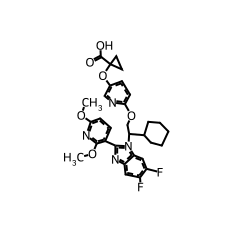 COc1ccc(-c2nc3cc(F)c(F)cc3n2C(COc2ccc(OC3(C(=O)O)CC3)cn2)C2CCCCC2)c(OC)n1